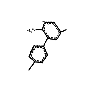 Cc1ccc(-c2cc(C)cnc2N)cc1